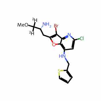 [2H]C([2H])(OC)[C@H](N)Cc1oc2c(NCc3cccs3)cc(Cl)nc2c1Br